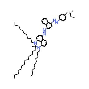 CCCCCCCCCCCCCC1(C)N(CCCCCCCCCC)c2cccc3c(/N=N/c4ccc(/N=N/c5ccc(C[C@@H](C)CC)cc5)c5ccccc45)ccc(c23)N1CCCCCCCCCC